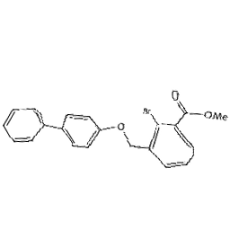 COC(=O)c1cccc(COc2ccc(-c3ccccc3)cc2)c1Br